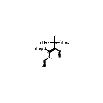 C=CS/C(CCCCCCC)=C(\C=C)C(C)(CCCCCC)CCCCCC